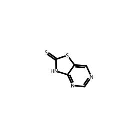 S=c1[nH]c2ncncc2s1